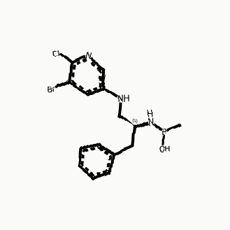 CB(O)N[C@H](CNc1cnc(Cl)c(Br)c1)Cc1ccccc1